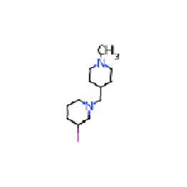 CN1CCC(CN2CCCC(I)C2)CC1